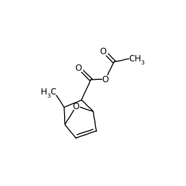 CC(=O)OC(=O)C1C2C=CC(O2)C1C